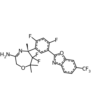 CC1(C)OCC(N)=N[C@](C)(c2cc(-c3nc4ccc(C(F)(F)F)cc4o3)c(F)cc2F)C1(F)F